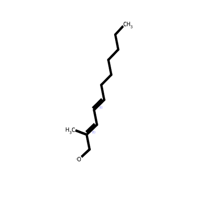 CCCCCC/C=C/C=C(\C)C[O]